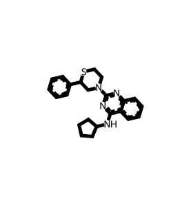 c1ccc(C2CN(c3nc(NC4CCCC4)c4ccccc4n3)CCS2)cc1